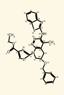 CCOC(=O)c1csc(N2C[C@H](OCc3ccccc3)Cc3c2nnc(Nc2nc4ccccc4s2)c3C)n1